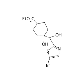 CCOC(=O)C1CCC(O)(C(O)c2ncc(Br)s2)CC1